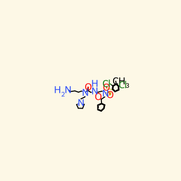 Cc1c(Cl)ccc(S(=O)(=O)N(CCc2ccccc2)CC(=O)NCC(=O)N(CCCCN)CCN2CCCC2)c1Cl